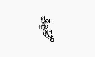 O=C(COc1ccc(Cl)c(F)c1)NC12CCC(NC(=O)C3CC(O)c4cc(Cl)ccc4O3)(C1)C2